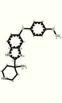 COc1ccc(Oc2ccc3[nH]c(C4(N)CCNCC4)nc3c2)cc1